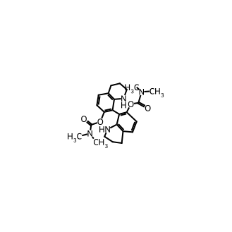 CN(C)C(=O)Oc1ccc2c(c1-c1c(OC(=O)N(C)C)ccc3c1NCCC3)NCCC2